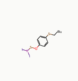 CCC(C)CSc1ccc(OSP(I)I)cc1